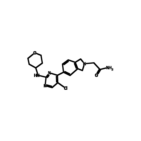 NC(=O)CN1Cc2ccc(-c3nc(NC4CCOCC4)ncc3Cl)cc2C1